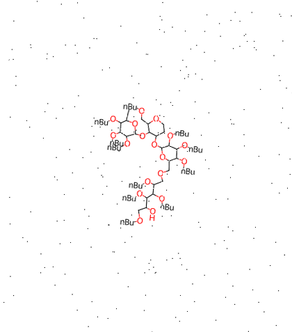 CCCCOCC(O)C(OCCCC)C(OCCCC)C(COCC1OC(OC2CCOC(COCCCC)C2OC2OC(C)C(OCCCC)C(OCCCC)C2OCCCC)C(OCCCC)C(OCCCC)C1OCCCC)OCCCC